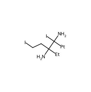 CCC(N)(CCI)[C](N)(I)[Pt]